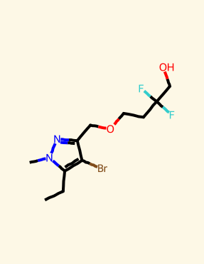 CCc1c(Br)c(COCCC(F)(F)CO)nn1C